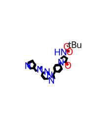 CN(Cc1cccnc1)c1ccc2ncc(-c3ccc(N4C[C@@H](NC(=O)OC(C)(C)C)CC4=O)cc3)n2n1